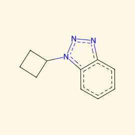 c1ccc2c(c1)nnn2C1CCC1